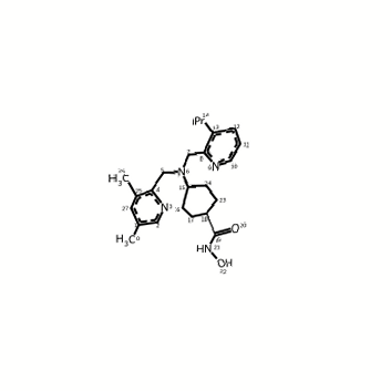 Cc1cnc(CN(Cc2ncccc2C(C)C)C2CCC(C(=O)NO)CC2)c(C)c1